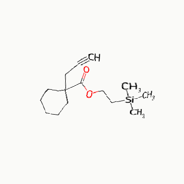 C#CCC1(C(=O)OCC[Si](C)(C)C)CCCCC1